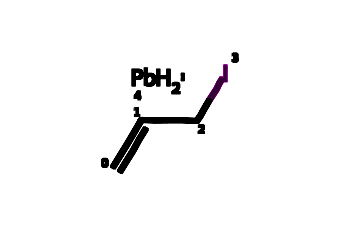 C=CCI.[PbH2]